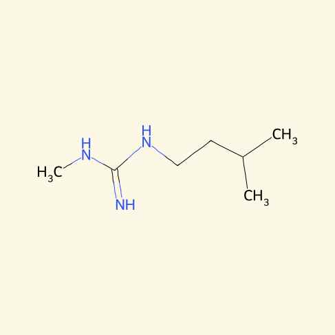 CNC(=N)NCCC(C)C